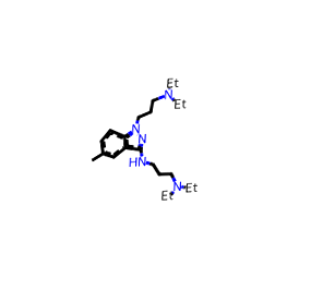 CCN(CC)CCCNc1nn(CCCN(CC)CC)c2ccc(C)cc12